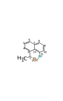 CC(Br)c1cccc2cccc(F)c12